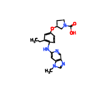 CCc1cc(OC2CCN(C(=O)O)C2)ccc1Nc1cc2c(cn1)ncn2C